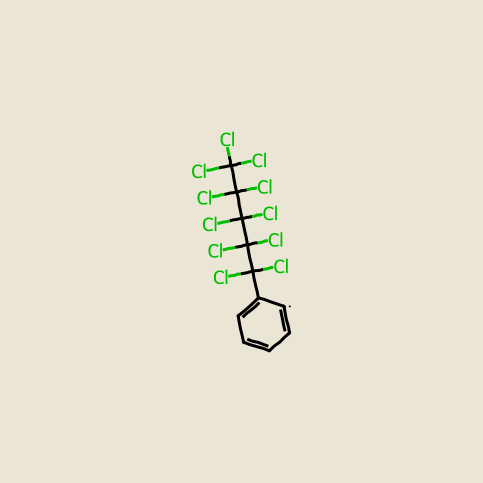 ClC(Cl)(Cl)C(Cl)(Cl)C(Cl)(Cl)C(Cl)(Cl)C(Cl)(Cl)c1[c]cccc1